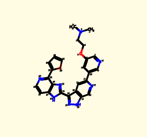 CN(C)CCOc1cncc(-c2cc3c(-c4nc5c(-c6cccs6)nccc5[nH]4)n[nH]c3cn2)c1